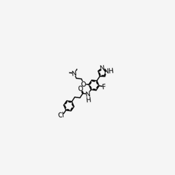 CN(C)CCOc1cc(-c2cn[nH]c2)c(F)cc1NC(=O)CCc1ccc(Cl)cc1